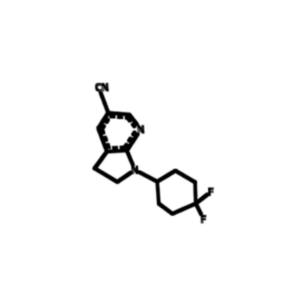 N#Cc1cnc2c(c1)CCN2C1CCC(F)(F)CC1